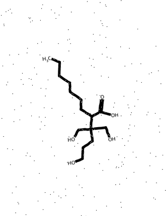 CCCCCCCC(C(=O)O)C(CO)(CO)CCCO